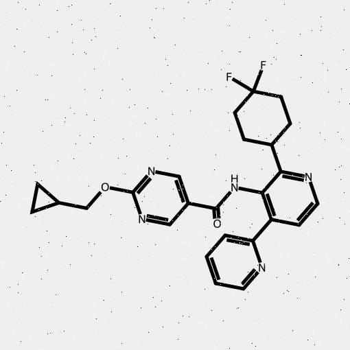 O=C(Nc1c(-c2ccccn2)ccnc1C1CCC(F)(F)CC1)c1cnc(OCC2CC2)nc1